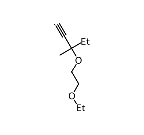 [C]#CC(C)(CC)OCCOCC